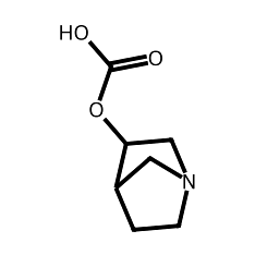 O=C(O)OC1CN2CCC1C2